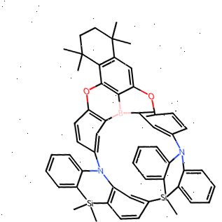 CC1(C)CCC(C)(C)c2c1cc1c3c2Oc2ccc4cc2B3c2cc(ccc2O1)N1c2ccccc2[Si](C)(c2ccc3c(c2)N4c2ccccc2[Si]3(C)C)c2ccccc21